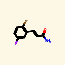 NC(=O)C=Cc1cc(I)ccc1Br